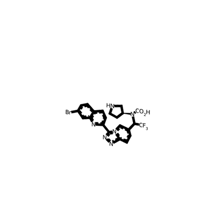 O=C(O)N(C(c1ccc2nnc(-c3ccc4ccc(Br)cc4n3)n2c1)C(F)(F)F)[C@H]1CCNC1